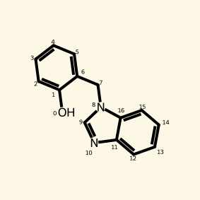 Oc1ccccc1Cn1cnc2ccccc21